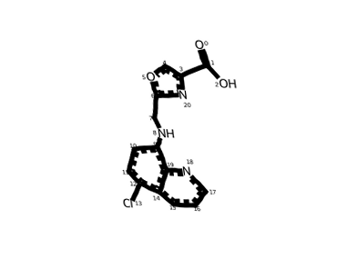 O=C(O)c1coc(CNc2ccc(Cl)c3cccnc23)n1